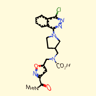 CNC(=O)c1cc(CN(CC2CCN(c3nnc(Cl)c4ccccc34)C2)C(=O)O)on1